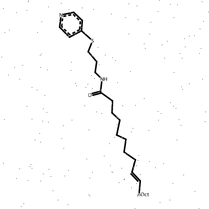 CCCCCCCCC=CCCCCCCCC(=O)NCCCSc1ccncc1